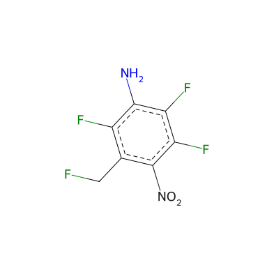 Nc1c(F)c(F)c([N+](=O)[O-])c(CF)c1F